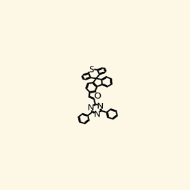 c1ccc(-c2nc(-c3ccccc3)nc(-c3cc4ccc5c(c4o3)-c3ccccc3C53c4ccccc4Sc4ccccc43)n2)cc1